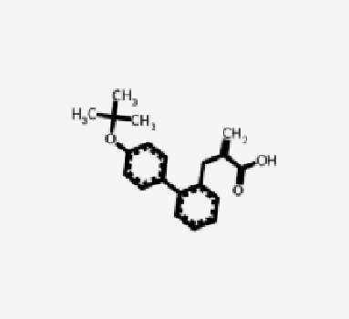 C=C(Cc1ccccc1-c1ccc(OC(C)(C)C)cc1)C(=O)O